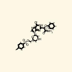 Cc1ccc(S(=O)(=O)OC[C@@H]2CNC[C@H](n3cnc4c(=O)[nH]c(C(Oc5ccccc5)C(N)=O)nc43)O2)cc1